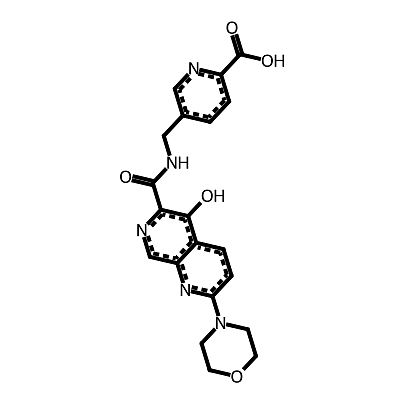 O=C(O)c1ccc(CNC(=O)c2ncc3nc(N4CCOCC4)ccc3c2O)cn1